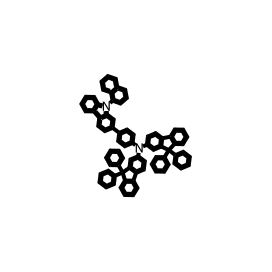 c1ccc(C2(c3ccccc3)c3ccccc3-c3ccc(N(c4ccc(-c5ccc6c7ccccc7n(-c7cccc8ccccc78)c6c5)cc4)c4ccc5c(c4)C(c4ccccc4)(c4ccccc4)c4ccccc4-5)cc32)cc1